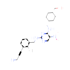 Cc1c(C#CCN)cccc1CNc1ncc([N+](=O)[O-])c(NC[C@H]2CC[C@H](CO)CC2)n1